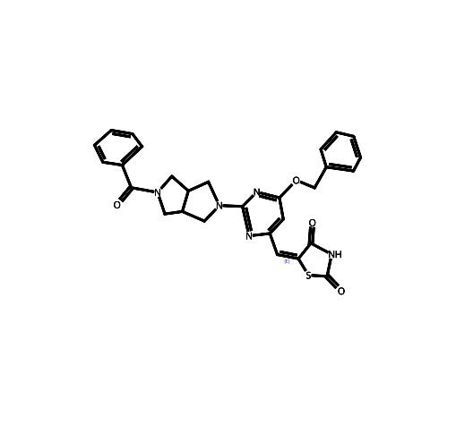 O=C1NC(=O)/C(=C\c2cc(OCc3ccccc3)nc(N3CC4CN(C(=O)c5ccccc5)CC4C3)n2)S1